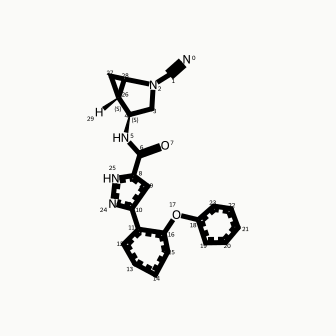 N#CN1C[C@@H](NC(=O)c2cc(-c3ccccc3Oc3ccccc3)n[nH]2)[C@@H]2CC21